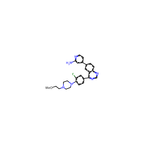 COCCN1CCN(c2ccc(-c3ncnc4ccc(-c5ccnc(N)c5)cc34)cc2F)CC1